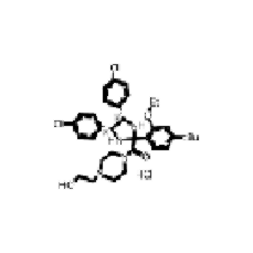 CCOc1cc(C(C)(C)C)ccc1C1(C(=O)N2CCN(CCO)CC2)N[C@H](c2ccc(Cl)cc2)[C@H](c2ccc(Cl)cc2)N1.Cl